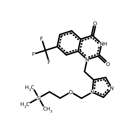 C[Si](C)(C)CCOCn1cncc1Cn1c(=O)[nH]c(=O)c2ccc(C(F)(F)F)cc21